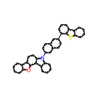 c1ccc2c(c1)oc1c2ccc2c1c1ccccc1n2-c1ccc2cc(-c3cccc4c3sc3ccccc34)ccc2c1